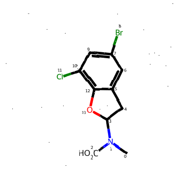 CN(C(=O)O)C1Cc2cc(Br)cc(Cl)c2O1